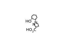 O=C(O)c1ccn(-c2ccccc2O)n1